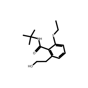 CCSc1cccc(CCO)c1C(=O)NC(C)(C)C